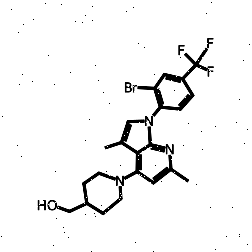 Cc1cc(N2CCC(CO)CC2)c2c(C)cn(-c3ccc(C(F)(F)F)cc3Br)c2n1